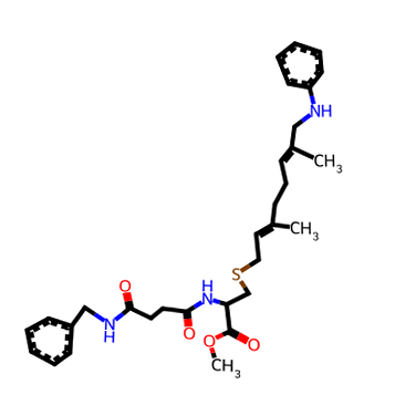 COC(=O)C(CSC/C=C(\C)CC/C=C(\C)CNc1ccccc1)NC(=O)CCC(=O)NCc1ccccc1